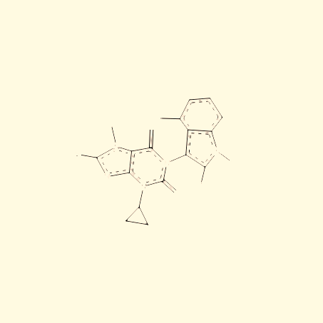 CCc1c(-n2c(=O)c3c(nc(Br)n3C)n(C3CC3)c2=O)c2c(Cl)cccc2n1C(=O)O